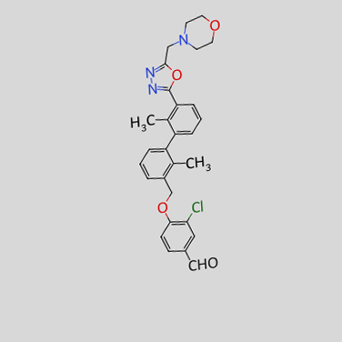 Cc1c(COc2ccc(C=O)cc2Cl)cccc1-c1cccc(-c2nnc(CN3CCOCC3)o2)c1C